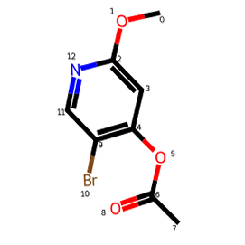 COc1cc(OC(C)=O)c(Br)cn1